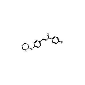 O=C(/C=C/c1ccc(OC2CCCCO2)cc1)c1ccc(F)cc1